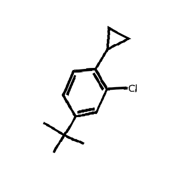 CC(C)(C)c1ccc(C2CC2)c(Cl)c1